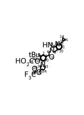 CC(C)(C)c1cc(C(=O)CN2Cc3ccc(C4CC4)nc3C2=N)cc(N2CCC(OC(=O)C(F)(F)F)C2)c1OCC(=O)O